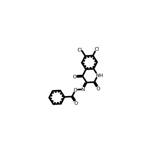 O=C1Nc2cc(Cl)c(Cl)cc2C(=O)C1=NOC(=O)c1ccccc1